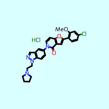 COc1cc(Cl)ccc1-c1cc2c(=O)n(-c3ccc4c(cnn4CCN4CCCC4)c3)ccc2o1.Cl